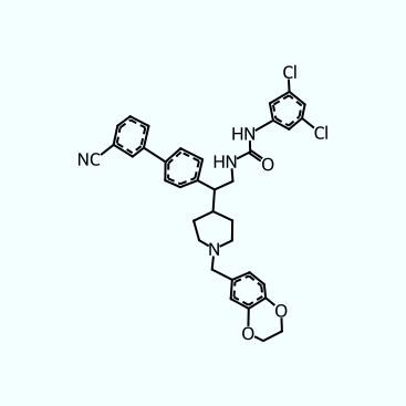 N#Cc1cccc(-c2ccc(C(CNC(=O)Nc3cc(Cl)cc(Cl)c3)C3CCN(Cc4ccc5c(c4)OCCO5)CC3)cc2)c1